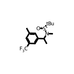 Cc1cc(C(C)N(C)[S+]([O-])C(C)(C)C)cc(C(F)(F)F)c1